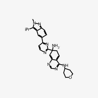 CC(C)c1c2cc(-c3ccnc(C4(N)C=c5ncnc(NC6CCOCC6)c5=CC4)n3)ccc2nn1C